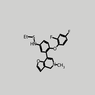 CCSNc1ccc(Oc2ccc(F)cc2F)c(C2=CN(C)Cc3ccoc32)c1